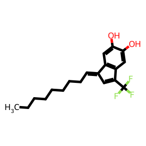 CCCCCCCC/C=C1\C=C(C(F)(F)F)c2cc(O)c(O)cc21